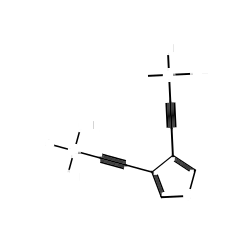 C[Si](C)(C)C#Cc1cscc1C#C[Si](C)(C)C